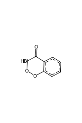 O=[C]1[BiH][O]Oc2ccccc21